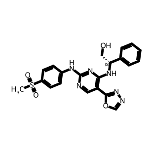 CS(=O)(=O)c1ccc(Nc2ncc(-c3nnco3)c(N[C@H](CO)c3ccccc3)n2)cc1